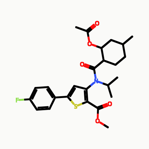 COC(=O)c1sc(-c2ccc(F)cc2)cc1N(C(=O)C1CCC(C)CC1OC(C)=O)C(C)C